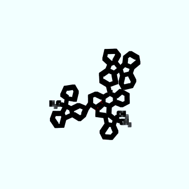 CC1(C)c2ccccc2-c2cccc(-c3ccccc3N(c3ccc(-c4ccc5c(c4)C(C)(c4ccccc4)c4ccccc4-5)cc3)c3ccc4c(c3)C3(c5ccccc5-c5ccccc53)c3ccccc3-4)c21